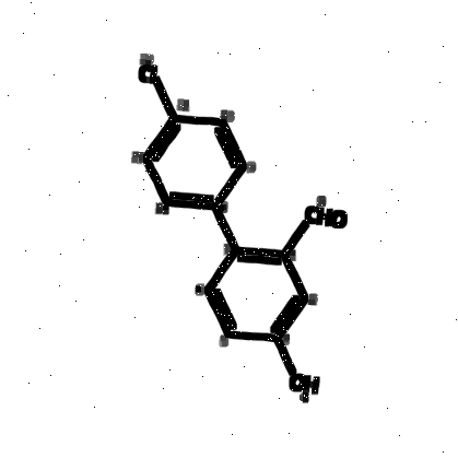 O=Cc1cc(O)ccc1-c1ccc(Cl)cc1